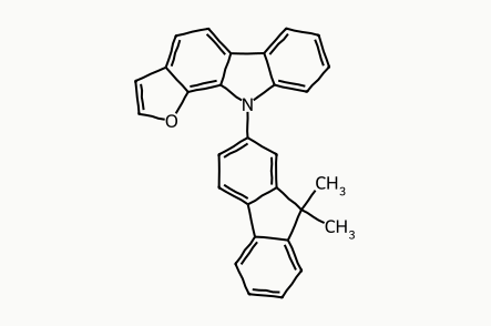 CC1(C)c2ccccc2-c2ccc(-n3c4ccccc4c4ccc5ccoc5c43)cc21